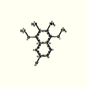 COc1c(N)c(N)c(OC)c2n[n+]([O-])ccc12